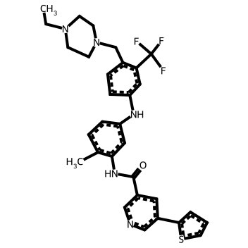 CCN1CCN(Cc2ccc(Nc3ccc(C)c(NC(=O)c4cncc(-c5cccs5)c4)c3)cc2C(F)(F)F)CC1